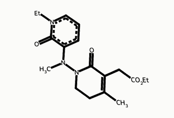 CCOC(=O)CC1=C(C)CCN(N(C)c2cccn(CC)c2=O)C1=O